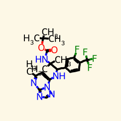 Cc1cc(NC(c2ccc(C(F)(F)F)c(F)c2)C(C)(C)NC(=O)OC(C)(C)C)n2ncnc2n1